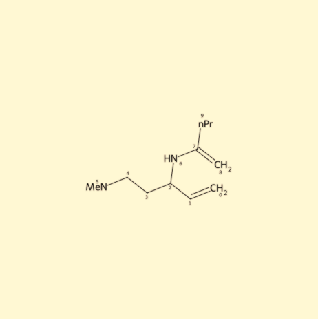 C=CC(CCNC)NC(=C)CCC